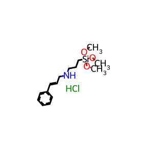 CO[Si](CCCNCC=Cc1ccccc1)(OC)OC.Cl